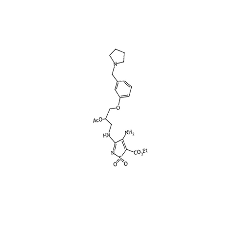 CCOC(=O)C1=C(N)C(NCC(COc2cccc(CN3CCCC3)c2)OC(C)=O)=NS1(=O)=O